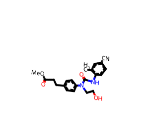 COC(=O)CCc1ccc(N(CCO)C(=O)Nc2ccc(C#N)cc2C)cc1